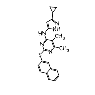 Cc1nc(Sc2ccc3ccccc3c2)nc(Nc2cc(C3CC3)n[nH]2)c1C